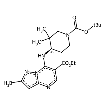 Bc1cc2ncc(C(=O)OCC)c(N[C@@H]3CCN(C(=O)OC(C)(C)C)CC3(C)C)n2n1